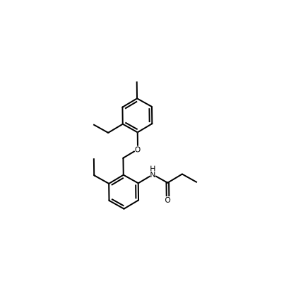 CCC(=O)Nc1cccc(CC)c1COc1ccc(C)cc1CC